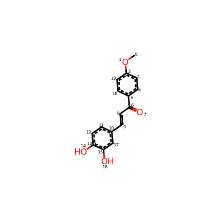 COc1ccc(C(=O)C=Cc2ccc(O)c(O)c2)cc1